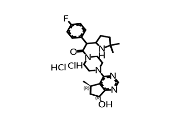 C[C@@H]1C[C@@H](O)c2ncnc(N3CCN(C(=O)C(c4ccc(F)cc4)C4CCC(C)(C)N4)CC3)c21.Cl.Cl